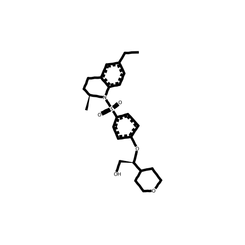 CCc1ccc2c(c1)CC[C@H](C)N2S(=O)(=O)c1ccc(O[C@H](CO)C2CCOCC2)cc1